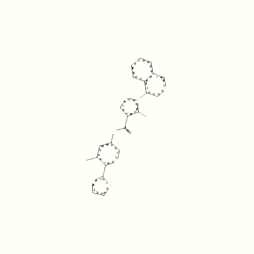 Cc1cc(NC(=O)c2cnn(-c3cncc4ccccc34)c2C(F)(F)F)cnc1-c1ncco1